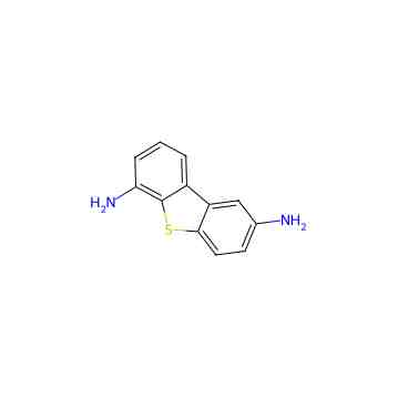 Nc1ccc2sc3c(N)cccc3c2c1